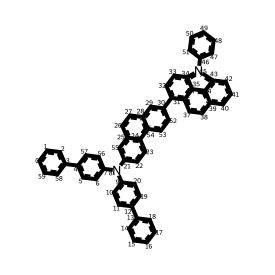 c1ccc(-c2ccc(N(c3ccc(-c4ccccc4)cc3)c3ccc4c(ccc5cc(-c6ccc7c8c6ccc6cccc(c68)n7-c6ccccc6)ccc54)c3)cc2)cc1